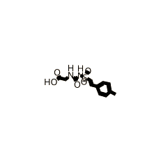 Cc1ccc(C=CS(=O)(=O)NC(=O)NCC(=O)O)cc1